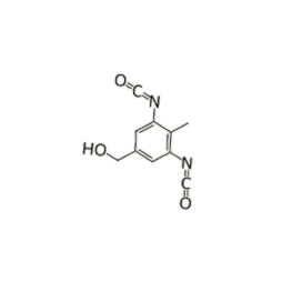 Cc1c(N=C=O)cc(CO)cc1N=C=O